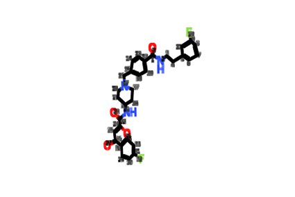 O=C(NCCc1cccc(F)c1)c1ccc(CN2CCC(NC(=O)c3cc(=O)c4ccc(F)cc4o3)CC2)cc1